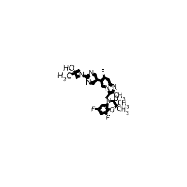 Cc1nc2cc(F)c(-c3cnc(N4CC(C)(O)C4)nc3)cn2c1CN1C(=O)C(C)(C)Oc2c(F)cc(F)cc21